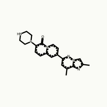 Cc1cn2nc(-c3ccn4c(=O)c(N5CCNCC5)ccc4c3)cc(C)c2n1